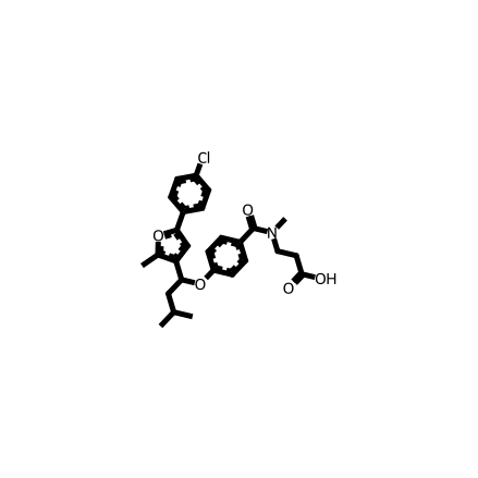 Cc1oc(-c2ccc(Cl)cc2)cc1C(CC(C)C)Oc1ccc(C(=O)N(C)CCC(=O)O)cc1